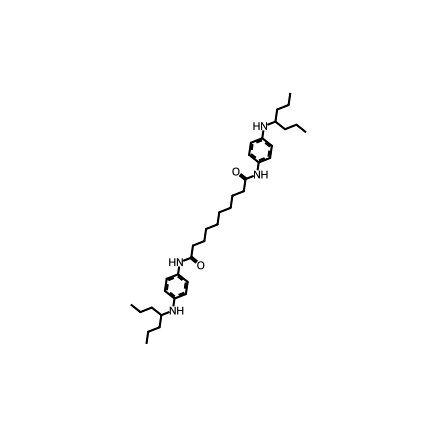 CCCC(CCC)Nc1ccc(NC(=O)CCCCCCCCC(=O)Nc2ccc(NC(CCC)CCC)cc2)cc1